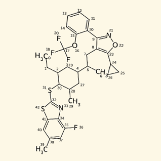 CCC1CC(C(C)Cc2c(-c3ccccc3OC(F)(F)F)noc2C2CC2)CC(C)C1Sc1nc2c(F)cc(C)cc2s1